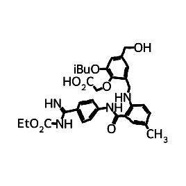 CCOC(=O)NC(=N)c1ccc(NC(=O)c2cc(C)ccc2NCc2cc(CO)cc(OCC(C)C)c2OCC(=O)O)cc1